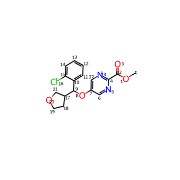 COC(=O)c1ncc(OC(c2ccccc2Cl)C2CCOC2)cn1